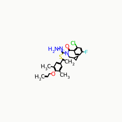 C=CCOc1c(C)cc(C(=C)S/C(=N\N)N(CC2CC2)C(=O)c2ccc(F)cc2Cl)cc1C